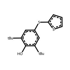 CC(C)(C)c1cc(Sc2cccs2)cc(C(C)(C)C)c1O